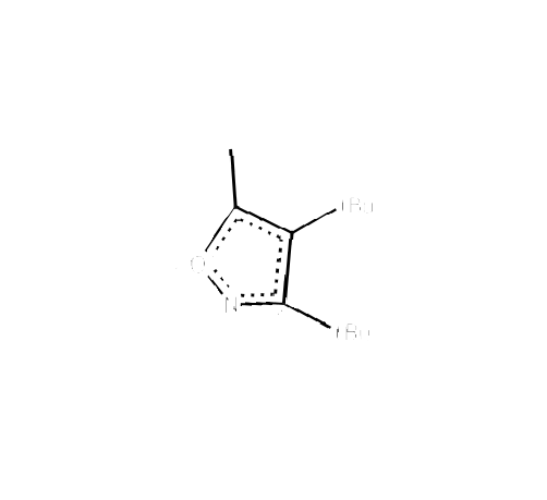 Cc1onc(C(C)(C)C)c1C(C)(C)C